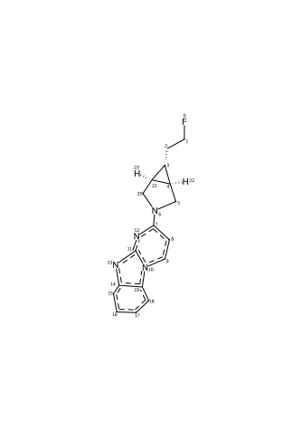 FCC[C@@H]1[C@H]2CN(c3ccn4c(n3)nc3ccccc34)C[C@@H]12